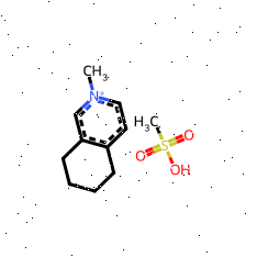 CS(=O)(=O)O.C[n+]1ccc2c(c1)CCCC2